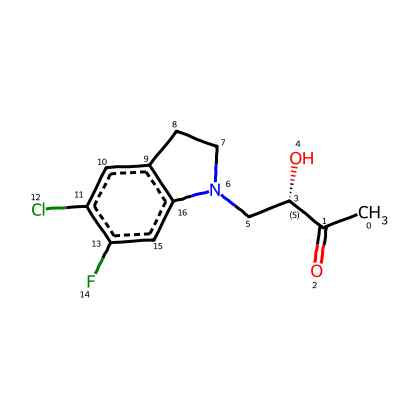 CC(=O)[C@@H](O)CN1CCc2cc(Cl)c(F)cc21